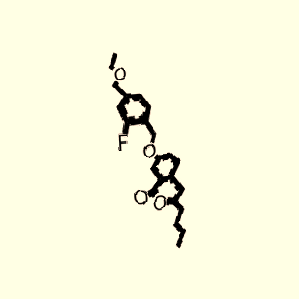 CCCCc1cc2ccc(OCc3ccc(COCC)cc3F)cc2c(=O)o1